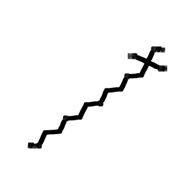 COCCOCCOCCOCC(O)(O)OC